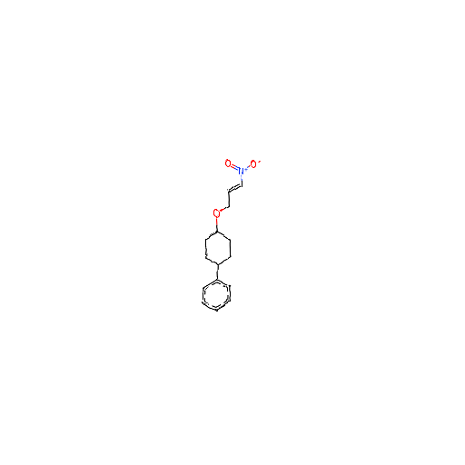 O=[N+]([O-])C=CCOC1CCC(c2ccccc2)CC1